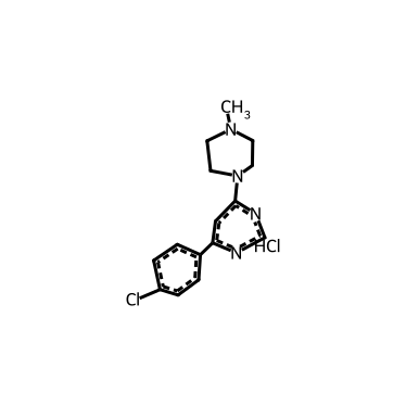 CN1CCN(c2cc(-c3ccc(Cl)cc3)ncn2)CC1.Cl